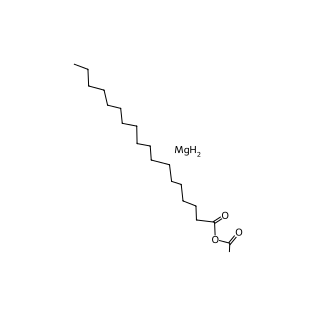 CCCCCCCCCCCCCCCCCC(=O)OC(C)=O.[MgH2]